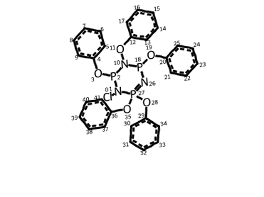 ClN1P(Oc2ccccc2)N(Oc2ccccc2)P(Oc2ccccc2)N=P1(Oc1ccccc1)Oc1ccccc1